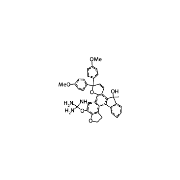 COc1ccc(C2(c3ccc(OC)cc3)C=Cc3c4c(c5c6c(c(OC(N)(N)N)cc5c3O2)OCC6)-c2ccccc2C4(C)O)cc1